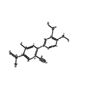 COc1ccc(-c2cc(C)c([N+](=O)[O-])cc2C#N)cc1OC